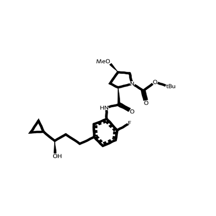 CO[C@@H]1C[C@H](C(=O)Nc2cc(CC[C@@H](O)C3CC3)ccc2F)N(C(=O)OC(C)(C)C)C1